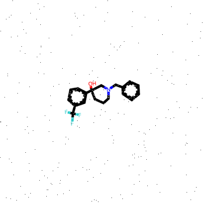 OC1(c2cccc(C(F)(F)F)c2)CCCN(Cc2ccccc2)C1